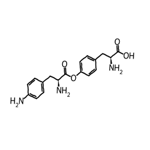 Nc1ccc(C[C@H](N)C(=O)Oc2ccc(C[C@H](N)C(=O)O)cc2)cc1